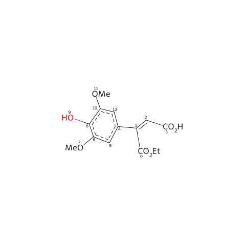 CCOC(=O)C(=CC(=O)O)c1cc(OC)c(O)c(OC)c1